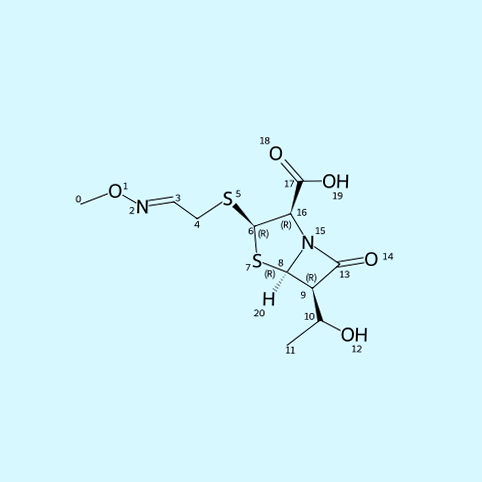 CON=CCS[C@@H]1S[C@@H]2[C@H](C(C)O)C(=O)N2[C@@H]1C(=O)O